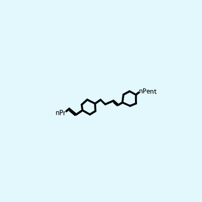 CCCC=CC1CCC(CCC=CC2CCC(CCCCC)CC2)CC1